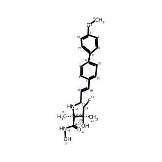 COc1ccc(-c2ccc(/C=C/CN[C@](C)(C(=O)NO)[C@](C)(O)CF)cc2)cc1